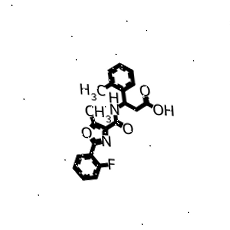 Cc1ccccc1C(CC(=O)O)NC(=O)c1nc(-c2ccccc2F)oc1C